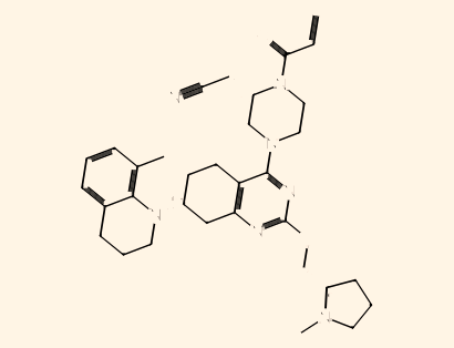 C=CC(=O)N1CCN(c2nc(OC[C@@H]3CCCN3C)nc3c2CC[C@@H](N2CCCc4cccc(C)c42)C3)C[C@@H]1CC#N